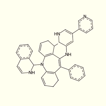 CC1CC=CC2=C1C(NC1=CC(c3cccnc3)=CNC1)=C(c1ccccc1)C1=C(C=CCC1)N2C1NC=Cc2ccccc21